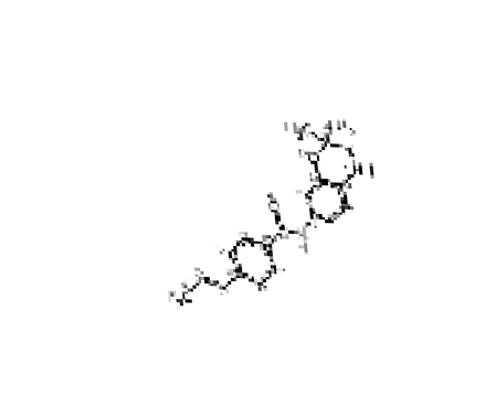 CC1(C)CNc2ccc(NC(=O)c3ccc(/C=C/C(F)(F)F)cc3)cc2O1